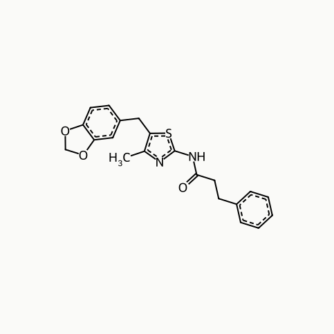 Cc1nc(NC(=O)CCc2ccccc2)sc1Cc1ccc2c(c1)OCO2